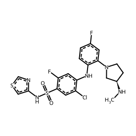 CN[C@@H]1CCN(c2cc(F)ccc2Nc2cc(F)c(S(=O)(=O)Nc3cscn3)cc2Cl)C1